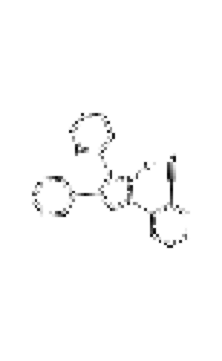 N#Cc1ccccc1-c1cc(-c2ccccc2)n(-c2ccccn2)[n+]1[O-]